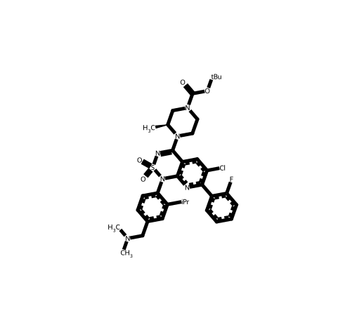 CC(C)c1cc(CN(C)C)ccc1N1c2nc(-c3ccccc3F)c(Cl)cc2C(N2CCN(C(=O)OC(C)(C)C)C[C@@H]2C)=NS1(=O)=O